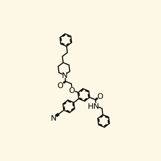 N#Cc1ccc(-c2cc(C(=O)NCc3ccccc3)ccc2OCC(=O)N2CCC(CCc3ccccc3)CC2)cc1